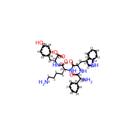 NCCCC[C@H](NC(=O)[C@@H](Cc1c[nH]c2ccccc12)NC(=O)[C@@H](N)c1ccccc1)C(=O)N[C@@H](Cc1ccc(O)cc1)C(=O)O